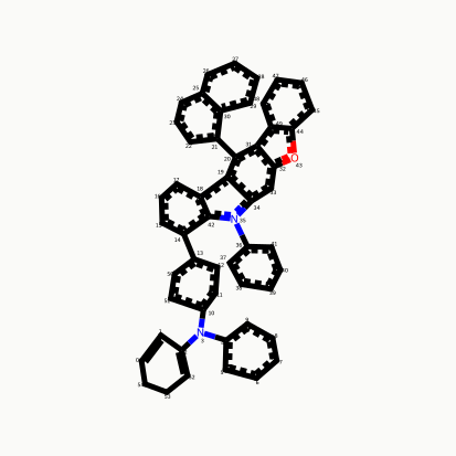 C1=CC(N(c2ccccc2)c2ccc(-c3cccc4c5c(-c6cccc7ccccc67)c6c(cc5n(-c5ccccc5)c34)oc3ccccc36)cc2)=CCC1